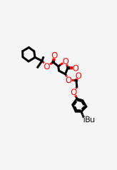 CCC(C)c1ccc(OCC(=O)OC2CC(C(=O)OC(C)(C)C3CCCCC3)OC2=O)cc1